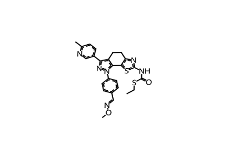 CCSC(=O)Nc1nc2c(s1)-c1c(c(-c3ccc(C)nc3)nn1-c1ccc(C=NOC)cc1)CC2